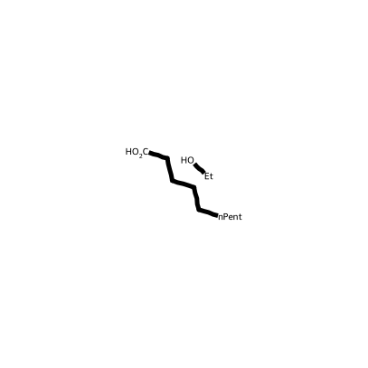 CCCCCCCCCC(=O)O.CCO